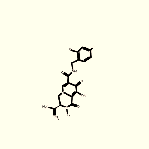 C=C(C)[C@H]1Cn2cc(C(=O)NCc3ccc(F)cc3F)c(=O)c(O)c2C(=O)N1CC